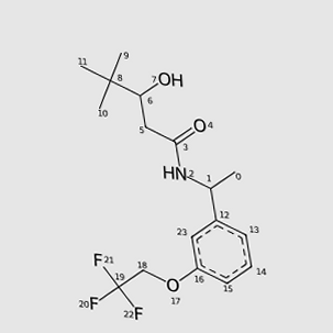 CC(NC(=O)CC(O)C(C)(C)C)c1cccc(OCC(F)(F)F)c1